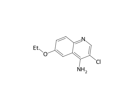 CCOc1ccc2ncc(Cl)c(N)c2c1